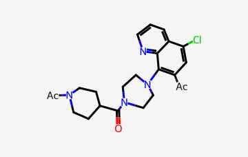 CC(=O)c1cc(Cl)c2cccnc2c1N1CCN(C(=O)C2CCN(C(C)=O)CC2)CC1